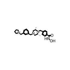 C[C@@H]1CN(Cc2cccc(CN3CCCC3)c2)C[C@H](C)N1Cc1ccc(C(=O)NO)cc1